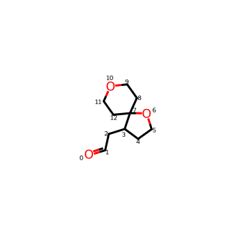 O=CCC1CCOC12CCOCC2